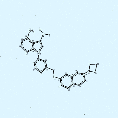 C[S+]([O-])c1cn(-c2cncc(COc3ccc4ccc(N5CCC5)nc4c3)c2)c2ncnc(N)c12